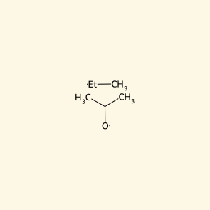 CC(C)[O].C[CH]C